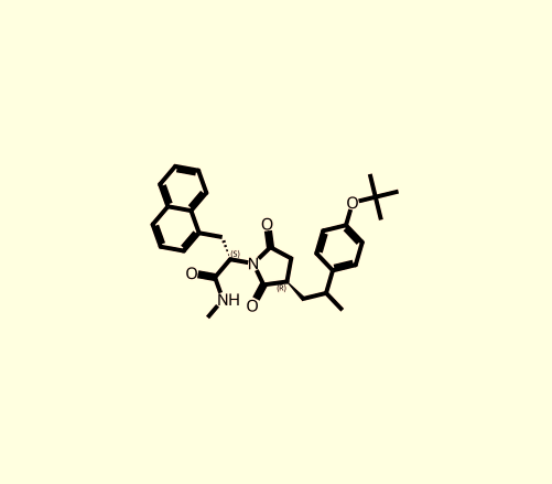 CNC(=O)[C@H](Cc1cccc2ccccc12)N1C(=O)C[C@@H](CC(C)c2ccc(OC(C)(C)C)cc2)C1=O